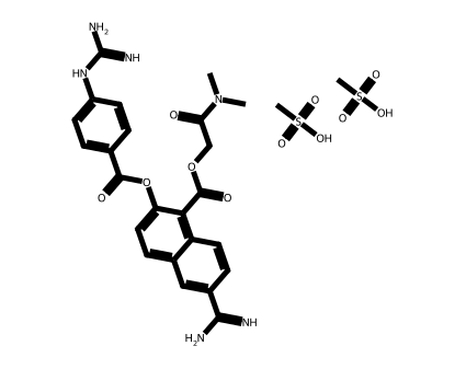 CN(C)C(=O)COC(=O)c1c(OC(=O)c2ccc(NC(=N)N)cc2)ccc2cc(C(=N)N)ccc12.CS(=O)(=O)O.CS(=O)(=O)O